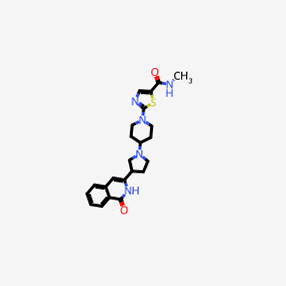 CNC(=O)c1cnc(N2CCC(N3CCC(c4cc5ccccc5c(=O)[nH]4)C3)CC2)s1